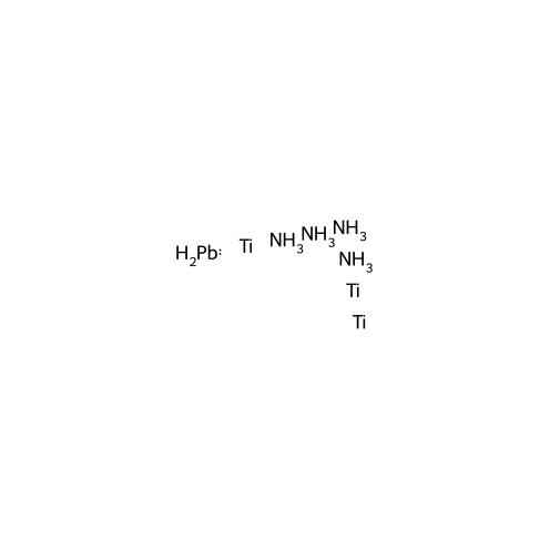 N.N.N.N.[PbH2].[Ti].[Ti].[Ti]